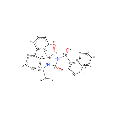 CC(C)CN1C(=O)N(C(=O)c2cccc3ccccc23)C(=O)C1(c1ccccc1)c1ccccc1